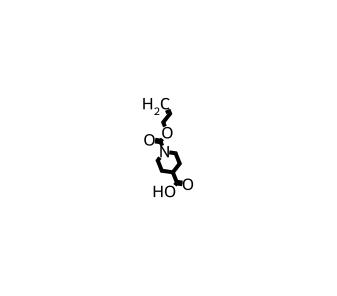 C=CCOC(=O)N1CCC(C(=O)O)CC1